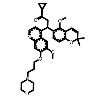 COc1cc2c(C(CC(=O)C3CC3)c3ccc4c(c3OC)C=CC(C)(C)O4)ccnc2cc1OCCCN1CCOCC1